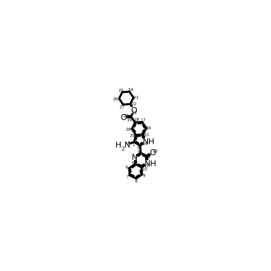 Nc1c(-c2nc3ccccc3[nH]c2=O)[nH]c2ccc(C(=O)OC3CCCCC3)cc12